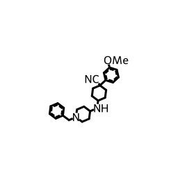 COc1cccc(C2(C#N)CCC(NC3CCN(Cc4ccccc4)CC3)CC2)c1